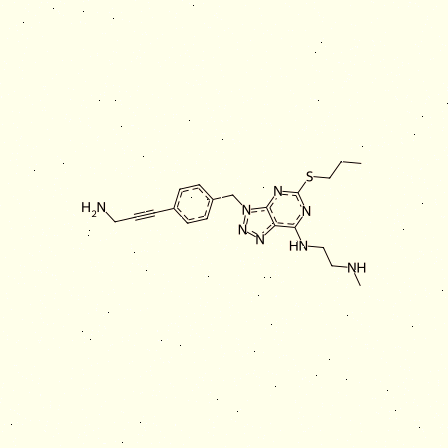 CCCSc1nc(NCCNC)c2nnn(Cc3ccc(C#CCN)cc3)c2n1